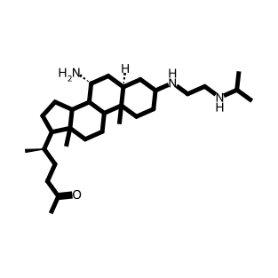 CC(=O)CC[C@@H](C)C1CCC2C3C(CCC21C)C1(C)CCC(NCCNC(C)C)C[C@@H]1C[C@H]3N